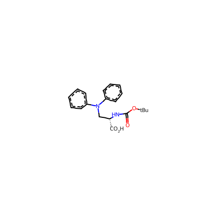 CC(C)(C)OC(=O)N[C@@H](CN(c1ccccc1)c1ccccc1)C(=O)O